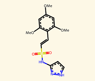 COc1cc(OC)c(/C=C/S(=O)(=O)Nc2cc[nH]n2)c(OC)c1